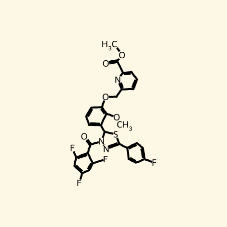 COC(=O)c1cccc(COc2cccc(C3SC(c4ccc(F)cc4)=NN3C(=O)c3c(F)cc(F)cc3F)c2OC)n1